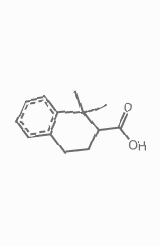 CC1(C)c2ccccc2CCC1C(=O)O